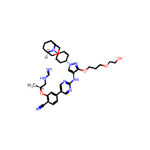 C[C@@H](CNC=N)Oc1cc(-c2cnc(Nc3cn([C@H]4CC[C@H](N5C6CCC[C@@H]5COC6)CC4)nc3OCCCOCCO)nc2)ccc1C#N